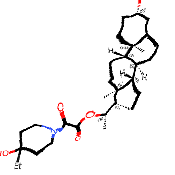 CCC1(O)CCN(C(=O)C(=O)O[C@@H](C)[C@H]2CC[C@H]3[C@@H]4CC=C5C[C@@H](O)CC[C@]5(C)[C@H]4CC[C@]23C)CC1